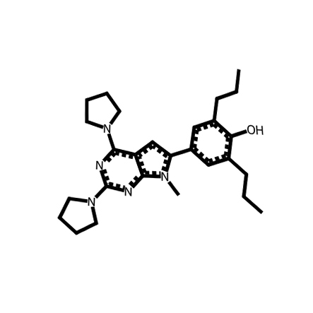 CCCc1cc(-c2cc3c(N4CCCC4)nc(N4CCCC4)nc3n2C)cc(CCC)c1O